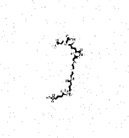 CC(=O)CC[C@@H](NC(=O)CCC(NC(=O)COCCOCCNC(=O)CCCS(=O)(=O)NC(=O)CCCS(=O)(=O)O)C(=O)O)C(=O)O